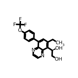 CCc1cc(-c2ccc(OC(F)(F)F)cc2)c2nccnc2c1[C@@H](O)CO